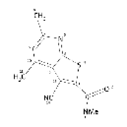 CNC(=O)c1sc2nc(C)cc(C)c2c1C#N